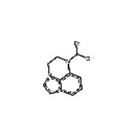 CCC(O)N1CCn2ccc3cccc1c32